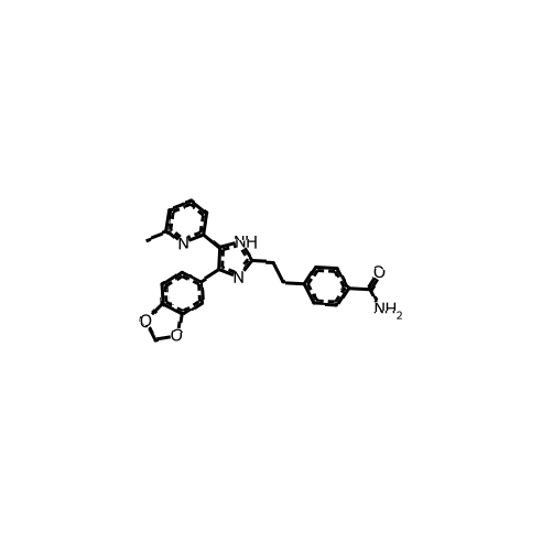 Cc1cccc(-c2[nH]c(CCc3ccc(C(N)=O)cc3)nc2-c2ccc3c(c2)OCO3)n1